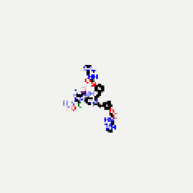 Cn1ccnc1CNC(=O)COc1cccc(CCC[N+]2(CCCc3cccc(OCC(=O)NCc4nccn4C)c3)CCC[C@H](NC(=O)c3nc(Cl)c(N)nc3N)C2)c1.[OH-]